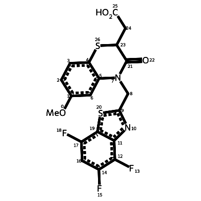 COc1ccc2c(c1)N(Cc1nc3c(F)c(F)cc(F)c3s1)C(=O)C(CC(=O)O)S2